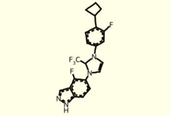 Fc1cc(N2C=CN(c3ccc4[nH]ncc4c3F)C2C(F)(F)F)ccc1C1CCC1